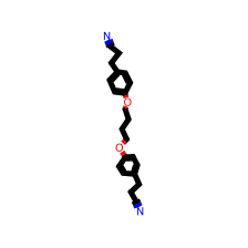 N#CCCc1ccc(OCCCCOc2ccc(CCC#N)cc2)cc1